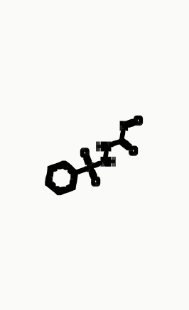 O=NC(=O)NNS(=O)(=O)c1ccccc1